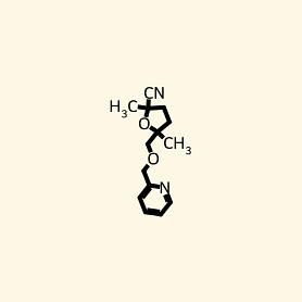 CC1(C#N)CCC(C)(COCc2ccccn2)O1